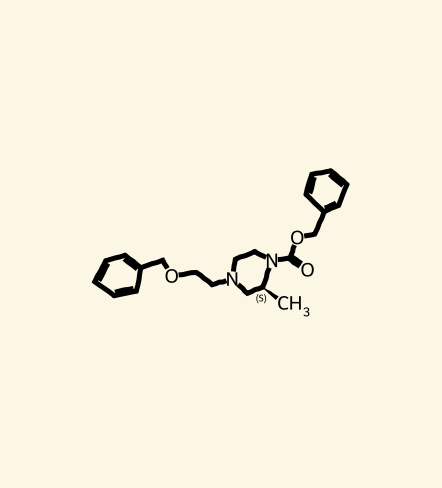 C[C@H]1CN(CCOCc2ccccc2)CCN1C(=O)OCc1ccccc1